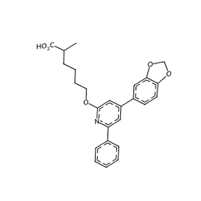 CC(CCCCOc1cc(-c2ccc3c(c2)OCO3)cc(-c2ccccc2)n1)C(=O)O